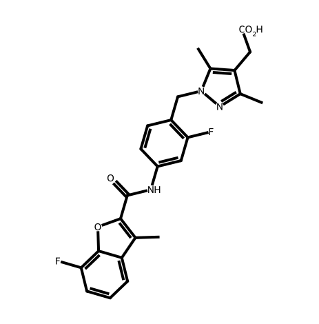 Cc1nn(Cc2ccc(NC(=O)c3oc4c(F)cccc4c3C)cc2F)c(C)c1CC(=O)O